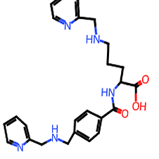 O=C(NC(CCCNCc1ccccn1)C(=O)O)c1ccc(CNCc2ccccn2)cc1